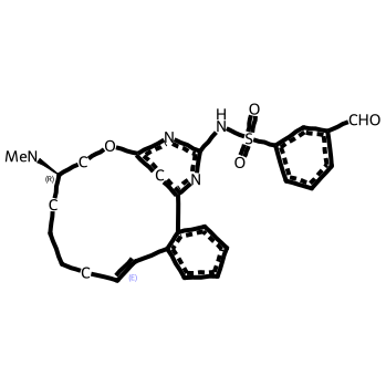 CN[C@@H]1CCCC/C=C/c2ccccc2-c2cc(nc(NS(=O)(=O)c3cccc(C=O)c3)n2)OC1